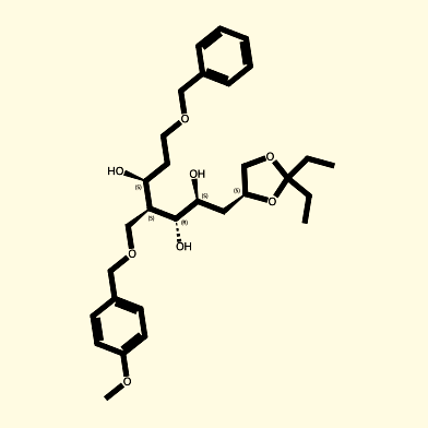 CCC1(CC)OC[C@H](C[C@H](O)[C@H](O)[C@@H](COCc2ccc(OC)cc2)[C@@H](O)CCOCc2ccccc2)O1